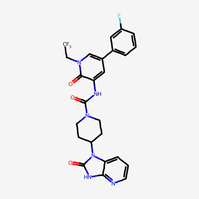 O=C(Nc1cc(-c2cccc(F)c2)cn(CC(F)(F)F)c1=O)N1CCC(n2c(=O)[nH]c3ncccc32)CC1